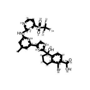 Cc1cc(Nc2cc(S(=O)(=O)C(F)(F)F)ccn2)nc(-c2cnc(C3(O)CCCc4c3ccc(C(=O)O)c4Br)s2)c1